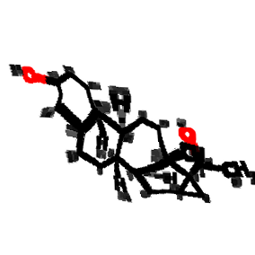 CC(=O)[C@@]12CC1C[C@H]1[C@@H]3CCC4=CC(=O)CC[C@@H]4[C@H]3CC[C@@]12C